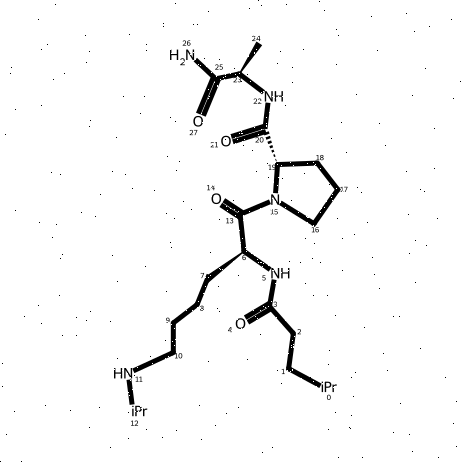 CC(C)CCC(=O)N[C@@H](CCCCNC(C)C)C(=O)N1CCC[C@H]1C(=O)N[C@H](C)C(N)=O